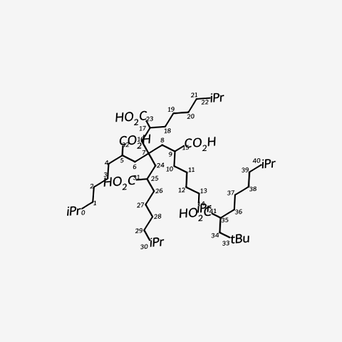 CC(C)CCCCC(CC(CC(CCCCC(C)C)C(=O)O)(CC(CCCCC(C)C)C(=O)O)CC(CCCCC(C)C)C(=O)O)C(=O)O.[CH2]C([CH2])([CH2])CC(CCCCC(C)C)C(=O)O